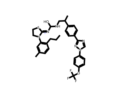 CCCc1ccc(C)cc1N1CCS/C1=N\C(O)NCC(C)c1ccc(-c2ncn(-c3ccc(OC(F)(F)F)cc3)n2)cc1